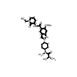 COc1cc2nn([C@H]3CC[C@H](N(C)C(=O)[C@@H](C)O)CC3)cc2cc1C(=O)Nc1cccn(CC#N)c1=O